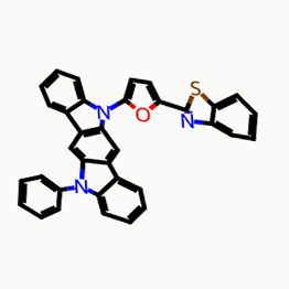 c1ccc(-n2c3ccccc3c3cc4c(cc32)c2ccccc2n4-c2ccc(-c3nc4ccccc4s3)o2)cc1